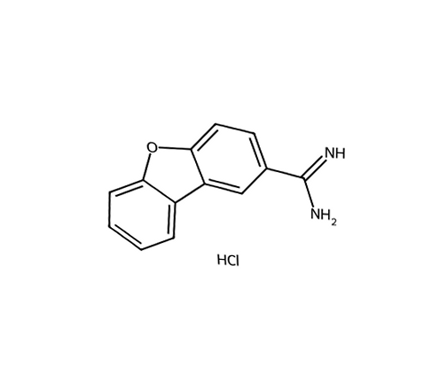 Cl.N=C(N)c1ccc2oc3ccccc3c2c1